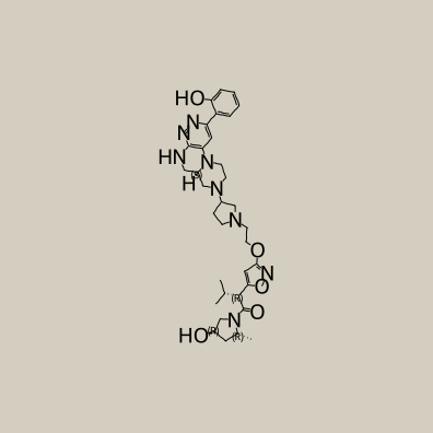 CC(C)[C@@H](C(=O)N1C[C@H](O)C[C@H]1C)c1cc(OCCN2CCC(N3CCN4c5cc(-c6ccccc6O)nnc5NC[C@H]4C3)C2)no1